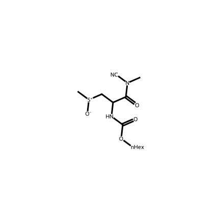 CCCCCCOC(=O)NC(C[S+](C)[O-])C(=O)N(C)C#N